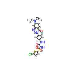 CN(C)c1ccc2c(=O)n(-c3ccc(NC(=O)NS(=O)(=O)c4ccc(Cl)s4)cc3F)cnc2c1